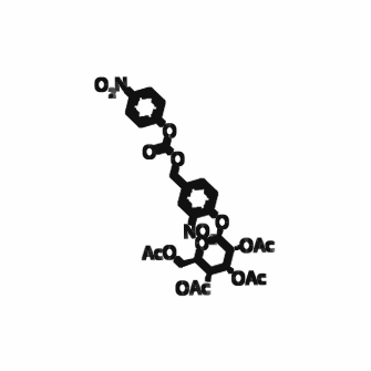 CC(=O)OC[C@H]1O[C@@H](Oc2ccc(COC(=O)Oc3ccc([N+](=O)[O-])cc3)cc2[N+](=O)[O-])[C@H](OC(C)=O)[C@@H](OC(C)=O)[C@H]1OC(C)=O